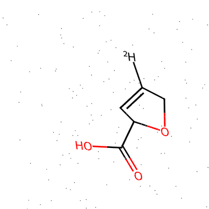 [2H]C1=CC(C(=O)O)OC1